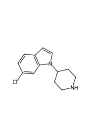 Clc1ccc2ccn(C3CCNCC3)c2c1